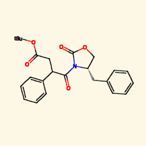 CC(C)(C)OC(=O)CC(C(=O)N1C(=O)OC[C@@H]1Cc1ccccc1)c1ccccc1